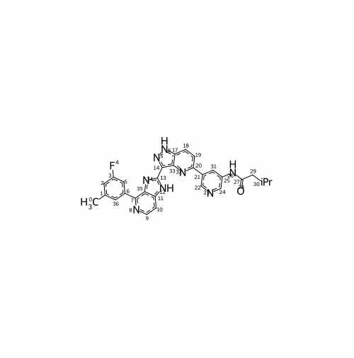 Cc1cc(F)cc(-c2nccc3[nH]c(-c4n[nH]c5ccc(-c6cncc(NC(=O)CC(C)C)c6)nc45)nc23)c1